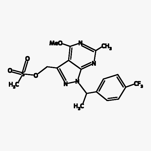 COc1nc(C)nc2c1c(COS(C)(=O)=O)nn2C(C)c1ccc(C(F)(F)F)cc1